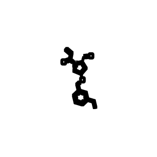 C=CC(=O)N1C[C@@H](OCc2cccc(CC)c2)C[C@H]1C=O